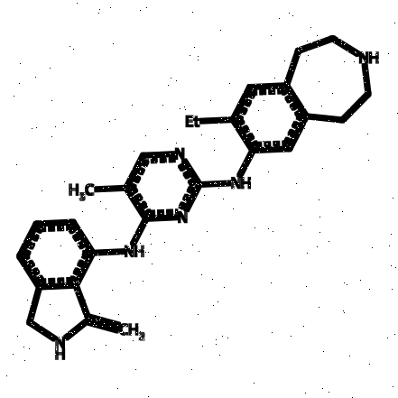 C=C1NCc2cccc(Nc3nc(Nc4cc5c(cc4CC)CCNCC5)ncc3C)c21